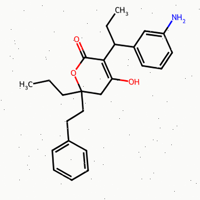 CCCC1(CCc2ccccc2)CC(O)=C(C(CC)c2cccc(N)c2)C(=O)O1